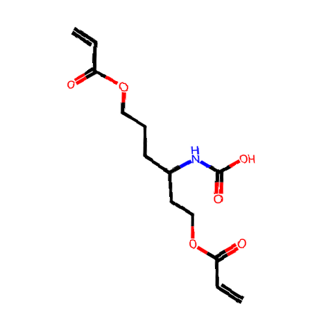 C=CC(=O)OCCCC(CCOC(=O)C=C)NC(=O)O